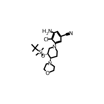 CC(C)(C)[Si](C)(C)O[C@@H]1CN(c2cc(C#N)cc(N)c2Cl)CC[C@H]1N1CCOCC1